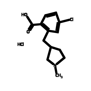 CN1CCC(Cc2cc(Cl)ccc2C(=O)O)C1.Cl